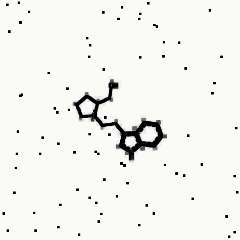 OCC1CCCN1CCc1c[nH]c2ccccc12